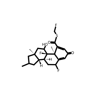 CC1C[C@H]2[C@@H]3CC(F)C4=CC(=O)C=C(C(=O)SCF)[C@]4(C)[C@@]3(F)C(O)C[C@]2(C)C1